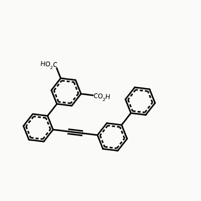 O=C(O)c1cc(C(=O)O)cc(-c2ccccc2C#Cc2cccc(-c3ccccc3)c2)c1